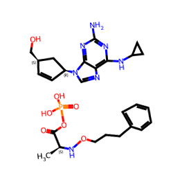 C[C@H](NOCCCc1ccccc1)C(=O)OP(=O)(O)O.Nc1nc(NC2CC2)c2ncn([C@H]3C=C[C@@H](CO)C3)c2n1